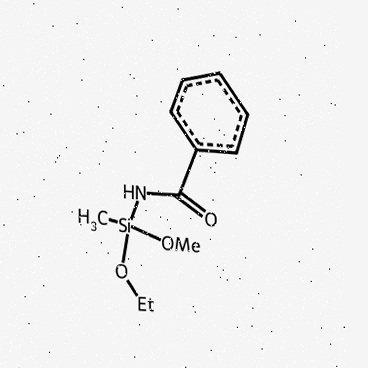 CCO[Si](C)(NC(=O)c1ccccc1)OC